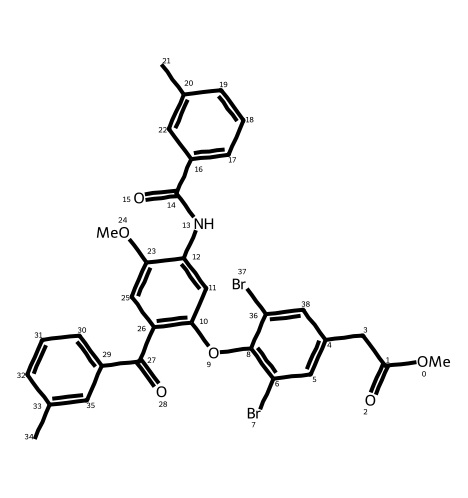 COC(=O)Cc1cc(Br)c(Oc2cc(NC(=O)c3cccc(C)c3)c(OC)cc2C(=O)c2cccc(C)c2)c(Br)c1